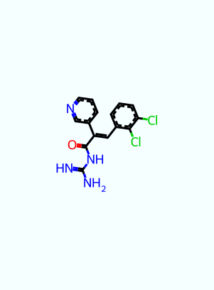 N=C(N)NC(=O)/C(=C/c1cccc(Cl)c1Cl)c1cccnc1